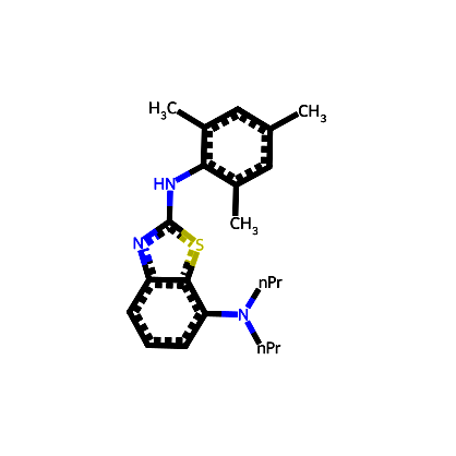 CCCN(CCC)c1cccc2nc(Nc3c(C)cc(C)cc3C)sc12